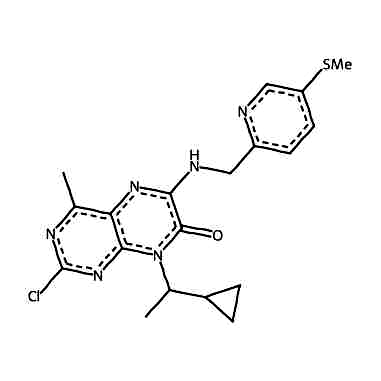 CSc1ccc(CNc2nc3c(C)nc(Cl)nc3n(C(C)C3CC3)c2=O)nc1